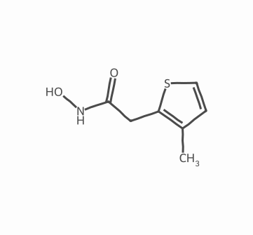 Cc1ccsc1CC(=O)NO